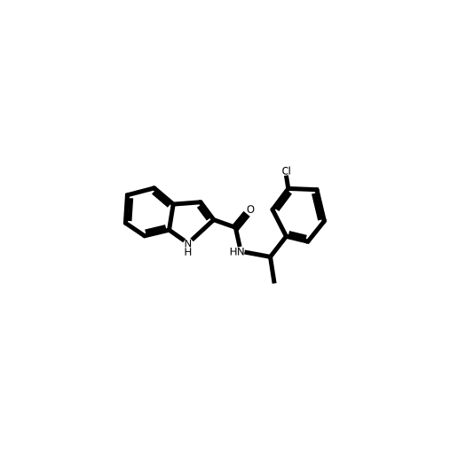 CC(NC(=O)c1cc2ccccc2[nH]1)c1cccc(Cl)c1